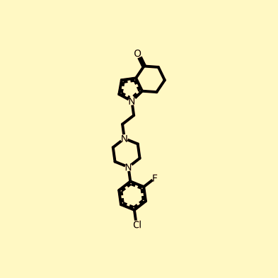 O=C1CCCc2c1ccn2CCN1CCN(c2ccc(Cl)cc2F)CC1